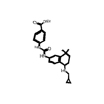 COC(=O)c1ccc(NC(=O)Nc2ccc3c(c2)C(C)(C)CCC3NCC2CC2)cc1